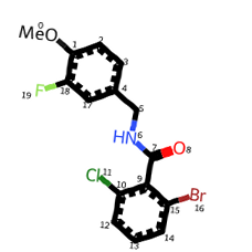 COc1ccc(CNC(=O)c2c(Cl)cccc2Br)cc1F